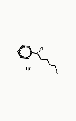 Cl.ClCCCCN(Cl)c1ccccc1